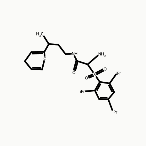 CC(CCNC(=O)C(N)S(=O)(=O)c1c(C(C)C)cc(C(C)C)cc1C(C)C)C1=CCC=CC1